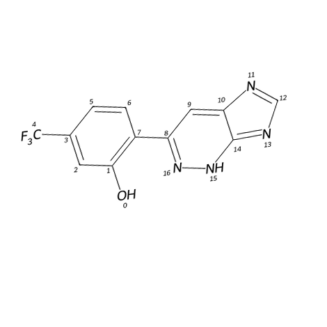 Oc1cc(C(F)(F)F)ccc1-c1cc2ncnc-2[nH]n1